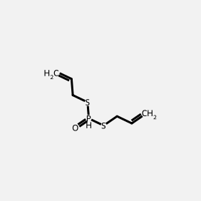 C=CCS[PH](=O)SCC=C